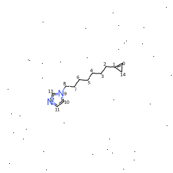 C1=C(CCCCCCCn2ccnc2)C1